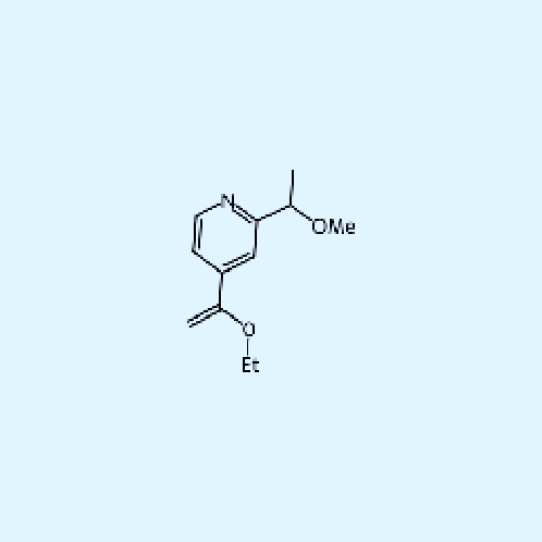 C=C(OCC)c1ccnc(C(C)OC)c1